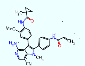 C=CC(=O)Nc1ccc(-c2c(-c3ccc(NC(=O)C4(C)CC4)c(OC)c3)c3c(N)ncc(C#N)c3n2C)cc1